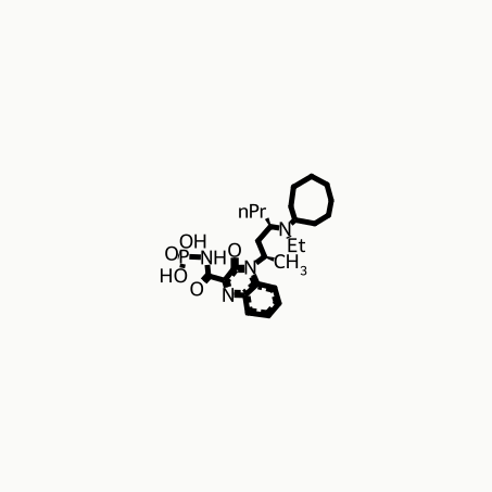 CCC[C@H](C[C@@H](C)n1c(=O)c(C(=O)NP(=O)(O)O)nc2ccccc21)N(CC)C1CCCCCCC1